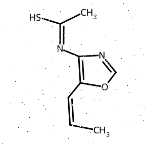 C/C=C\c1ocnc1/N=C(\C)S